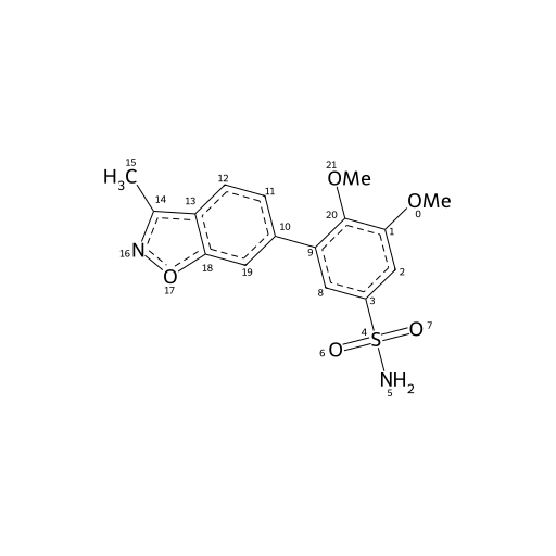 COc1cc(S(N)(=O)=O)cc(-c2ccc3c(C)noc3c2)c1OC